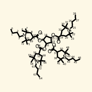 CCCCN1C(C)(C)CC(C(=O)OC2CC(OC(=O)C3CC(C)(C)N(CCCC)C(C)(C)C3)C(OC(=O)C3CC(C)(C)N(CCCC)C(C)(C)C3)C2OC(=O)C2CC(C)(C)N(CCCC)C(C)(C)C2)CC1(C)C